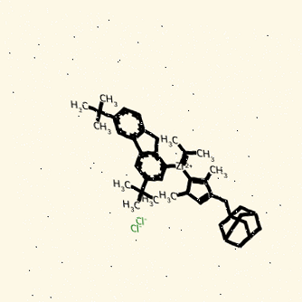 CC1=[C]([Zr+2](=[C](C)C)[c]2cc(C(C)(C)C)cc3c2Cc2ccc(C(C)(C)C)cc2-3)C(C)C=C1CC12CC3CC(CC(C3)C1)C2.[Cl-].[Cl-]